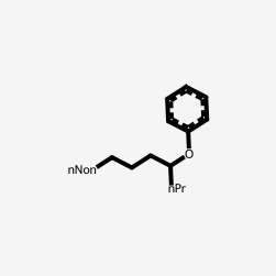 CCCCCCCCCCCCC(CCC)Oc1cc[c]cc1